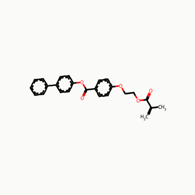 C=C(C)C(=O)OCCOc1ccc(C(=O)Oc2ccc(-c3ccccc3)cc2)cc1